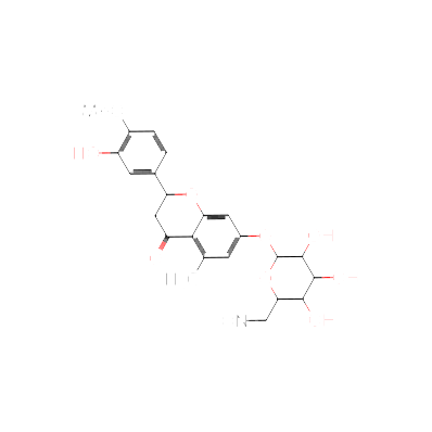 COc1ccc(C2CC(=O)c3c(C)cc(OC4OC(CN=O)C(O)C(O)C4O)cc3O2)cc1O